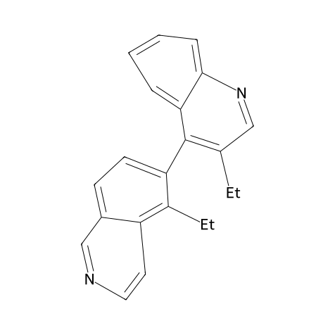 CCc1cnc2ccccc2c1-c1ccc2cnccc2c1CC